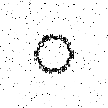 O=S1(=O)C[C@H]2CC[C@H](CC2)CS(=O)(=O)C[C@H]2CC[C@H](CC2)CS(=O)(=O)C[C@H]2CC[C@H](CC2)S(=O)(=O)[C@@H]2CC[C@@H](CC2)CS(=O)(=O)C[C@@H]2CC[C@@H](CC2)CS(=O)(=O)C[C@@H]2CC[C@@H](CC2)C1